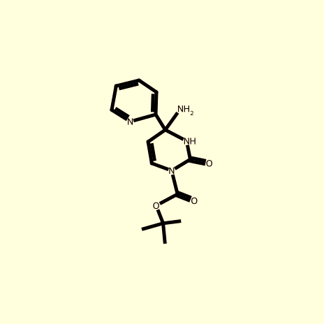 CC(C)(C)OC(=O)N1C=CC(N)(c2ccccn2)NC1=O